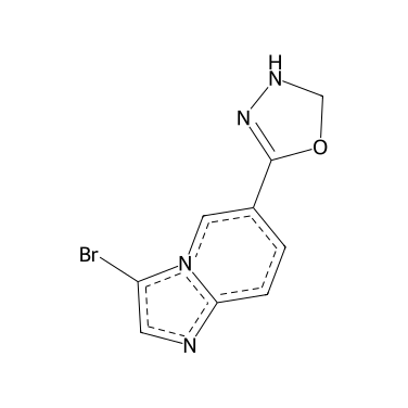 Brc1cnc2ccc(C3=NNCO3)cn12